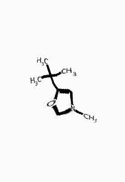 CN1C=C(C(C)(C)C)OC1